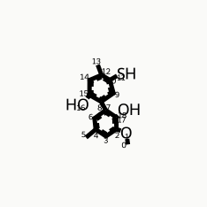 COc1cc(C)cc(-c2cc(S)c(C)cc2O)c1O